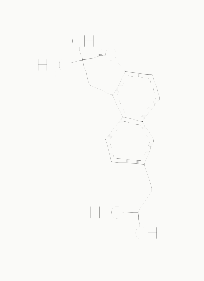 CC(C)Cc1ccc2c3c(ccc2c1)OC(C)(C)C3